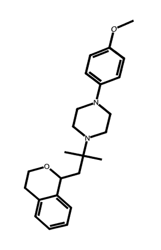 COc1ccc(N2CCN(C(C)(C)CC3OCCc4ccccc43)CC2)cc1